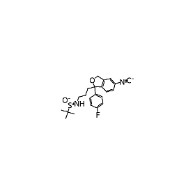 [C-]#[N+]c1ccc2c(c1)COC2(CCCN[S+]([O-])C(C)(C)C)c1ccc(F)cc1